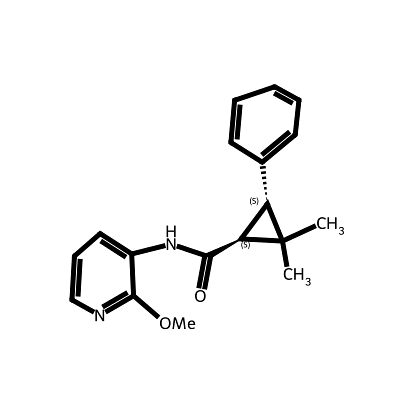 COc1ncccc1NC(=O)[C@H]1[C@H](c2ccccc2)C1(C)C